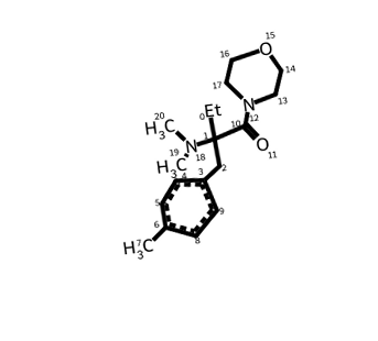 CCC(Cc1ccc(C)cc1)(C(=O)N1CCOCC1)N(C)C